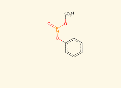 O=[PH](Oc1ccccc1)OS(=O)(=O)O